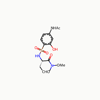 CON(C)C(=O)[C@H](CC=O)NS(=O)(=O)c1ccc(NC(C)=O)cc1O